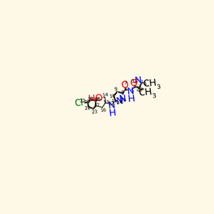 Cc1noc(NC(=O)c2ccc(NC(CO)Cc3ccc(Cl)cc3)nn2)c1C